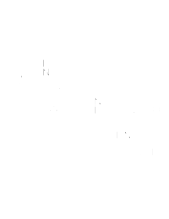 CNC(=O)C1=C=CCC(C(=O)NC)N1